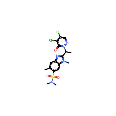 Cc1cc2nc(C(C)n3ncc(Cl)c(Cl)c3=O)n(C)c2cc1S(=O)(=O)N(C)C